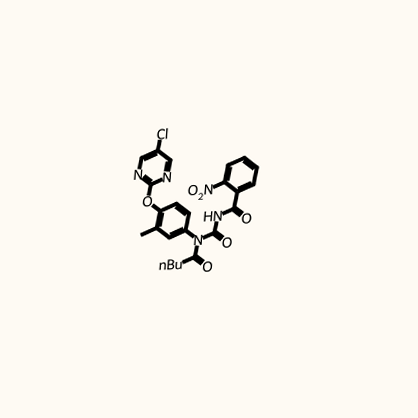 CCCCC(=O)N(C(=O)NC(=O)c1ccccc1[N+](=O)[O-])c1ccc(Oc2ncc(Cl)cn2)c(C)c1